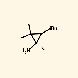 CCC(C)C1C(C)(C)[C@]1(C)N